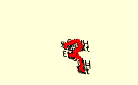 CCO[Si](C)(C)CCCNC(=O)NC1CCC(CC2CCC(NC(=O)OC(COC3CCC(C(C)(C)C4CCC(OCC(CN(CC)CC)OC(=O)NC5CCC(CC6CCC(NC(=O)NCCC[Si](OCC)(OCC)OCC)CC6)CC5)CC4)CC3)CN(CC)CC)CC2)CC1